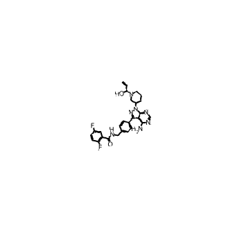 C=CC(O)N1CCCC(n2nc(-c3ccc(CNC(=O)c4cc(F)ccc4F)cc3)c3c(N)ncnc32)C1